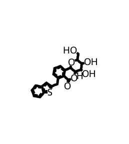 O=C1O[C@H]2C(OC(CO)C(O)C2O)c2cccc(Cc3cc4ccccc4s3)c21